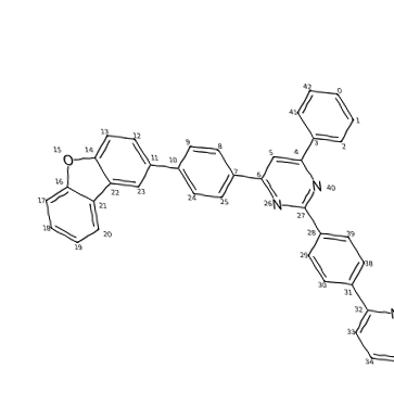 c1ccc(-c2cc(-c3ccc(-c4ccc5oc6ccccc6c5c4)cc3)nc(-c3ccc(-c4ccccn4)cc3)n2)cc1